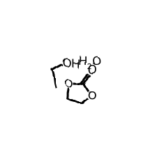 CCO.O.O=C1OCCO1